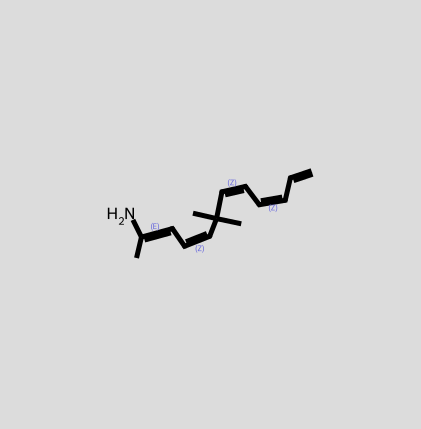 C=C/C=C\C=C/C(C)(C)/C=C\C=C(/C)N